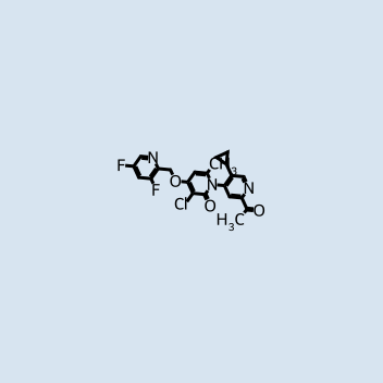 CC(=O)c1cc(-n2c(C)cc(OCc3ncc(F)cc3F)c(Cl)c2=O)c(C2CC2)cn1